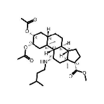 COC(=O)[C@H]1CC[C@H]2[C@@H]3CC[C@H]4C[C@@H](OC(C)=O)[C@@H](OC(C)=O)C[C@]4(C)[C@H]3[C@@H](NCCC(C)C)C[C@]12C